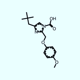 COc1ccc(OCc2nc(CC(C)(C)C)cn2C(=O)O)cc1